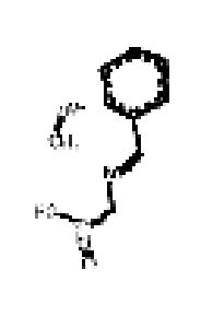 CCCC.O=[PH](O)C/N=C/c1ccccc1